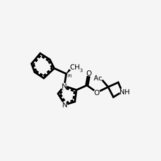 CC(=O)C1(OC(=O)c2cncn2[C@H](C)c2ccccc2)CNC1